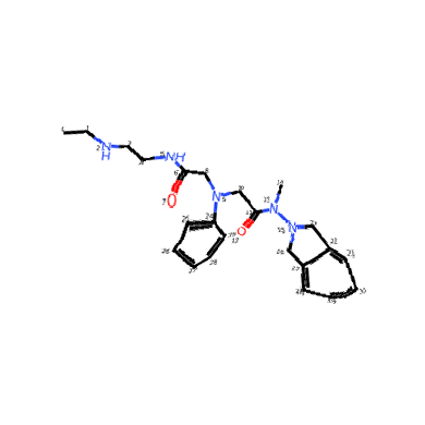 CCNCCNC(=O)CN(CC(=O)N(C)N1Cc2ccccc2C1)c1ccccc1